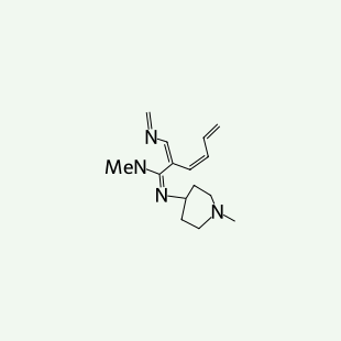 C=C\C=C/C(=C/N=C)C(=N\C1CCN(C)CC1)/NC